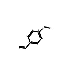 C=Cc1ccc(OF)cc1